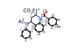 CCOC(=O)[C@@H]1C[C@H](N(C(C)=O)c2ccccc2)c2ccccc2N1C(=O)c1ccc(F)cc1